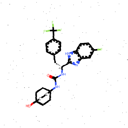 O=C(N[C@H](Cc1ccc(C(F)(F)F)cc1)c1nc2cc(F)ccc2[nH]1)NC12CCC(O)(CC1)CC2